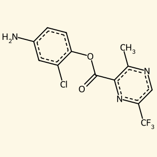 Cc1ncc(C(F)(F)F)nc1C(=O)Oc1ccc(N)cc1Cl